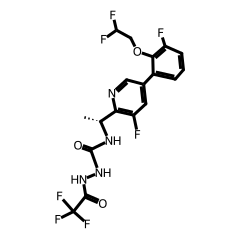 C[C@@H](NC(=O)NNC(=O)C(F)(F)F)c1ncc(-c2cccc(F)c2OCC(F)F)cc1F